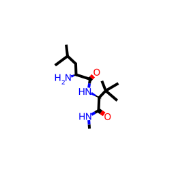 CNC(=O)[C@@H](NC(=O)[C@@H](N)CC(C)C)C(C)(C)C